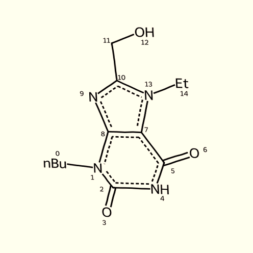 CCCCn1c(=O)[nH]c(=O)c2c1nc(CO)n2CC